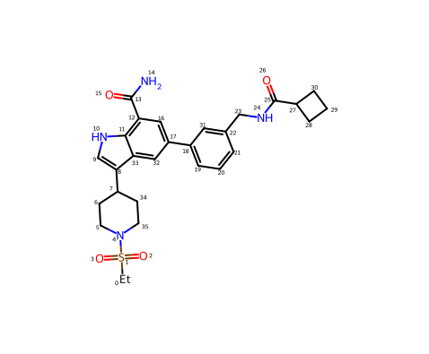 CCS(=O)(=O)N1CCC(c2c[nH]c3c(C(N)=O)cc(-c4cccc(CNC(=O)C5CCC5)c4)cc23)CC1